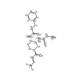 CN(C)C=NC(=O)[C@H]1CC[C@H](NC(=O)OCc2ccccc2)[C@H](NC(=O)OC(C)(C)C)C1